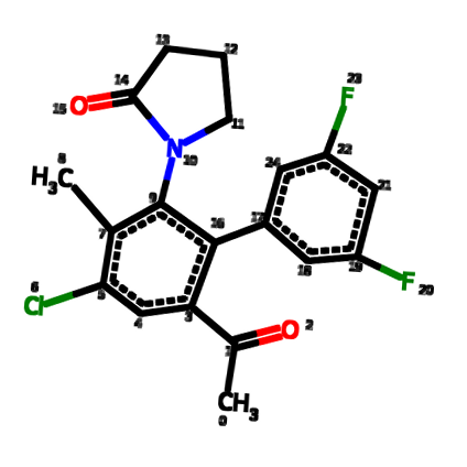 CC(=O)c1cc(Cl)c(C)c(N2CCCC2=O)c1-c1cc(F)cc(F)c1